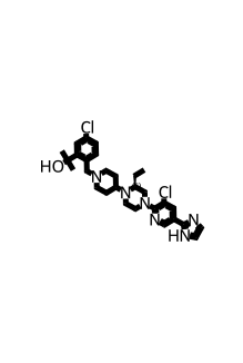 CC[C@H]1CN(c2ncc(-c3ncc[nH]3)cc2Cl)CCN1C1CCN(Cc2ccc(Cl)cc2C(C)(C)O)CC1